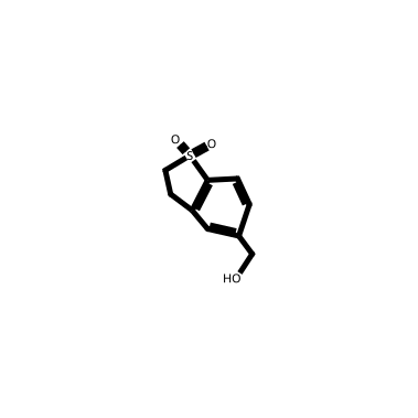 O=S1(=O)CCc2cc(CO)ccc21